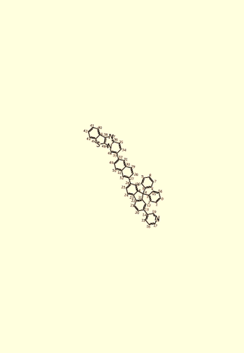 c1ccc(C2(c3ccccc3)c3cc(-c4cccnc4)ccc3-c3ccc(-c4ccc5cc(-c6ccc7nc8c9ccccc9sc8n7c6)ccc5c4)cc32)cc1